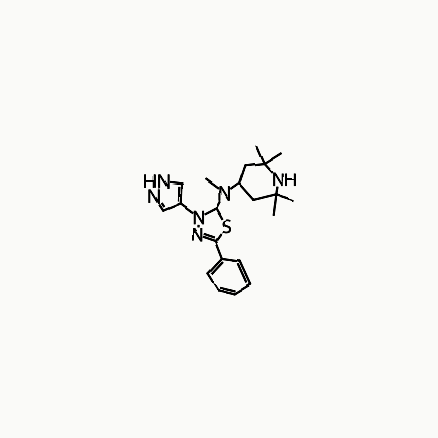 CN(C1CC(C)(C)NC(C)(C)C1)C1SC(c2ccccc2)=NN1c1cn[nH]c1